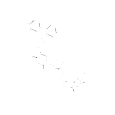 C=C1NC(=O)C(COCc2ccccc2-c2ccccc2)=CN1[C@H]1CC(O)[C@@H](COP(=O)(O)OP(=O)(O)OP(=O)(O)O)O1